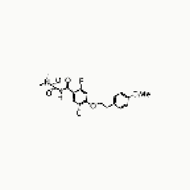 COc1ccc(CCOc2cc(F)c(C(=O)NS(=O)(=O)N(C)C)cc2Cl)cc1